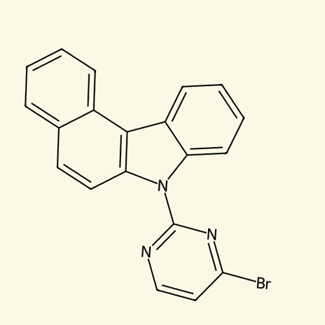 Brc1ccnc(-n2c3ccccc3c3c4ccccc4ccc32)n1